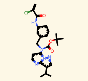 C=C(Cl)C(=O)Nc1cccc(CN(C(=O)OC(C)(C)C)c2ccnc3c(C(C)C)cnn23)c1